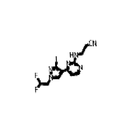 N#CCCNc1nccc(-c2cn(CC(F)F)nc2I)n1